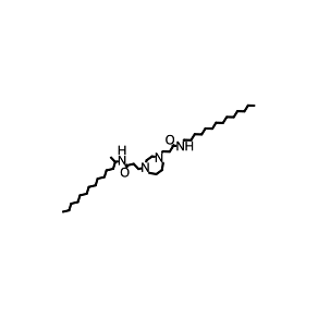 CCCCCCCCCCCCCCNC(=O)CCN1CCCCN(CCC(=O)NC(C)CCCCCCCCCCCC)CC1